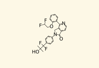 CC(C)(O)C(F)(F)c1ccc(N2Cc3c(ccnc3-c3ccccc3OCC(F)F)C2=O)cc1